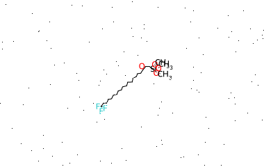 CO[Si](CCC1OC1CCCCCCCCCCCCCCCCC(F)(F)F)(OC)OC